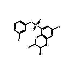 CCC1Oc2c(cc(Cl)cc2S(=O)(=O)Nc2cccc(Cl)c2)NC1O